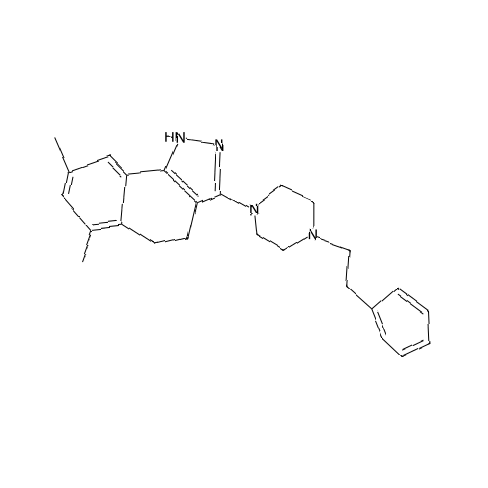 Cc1cc(C)c2c(c1)-c1[nH]nc(N3CCN(CCc4ccccc4)CC3)c1CC2